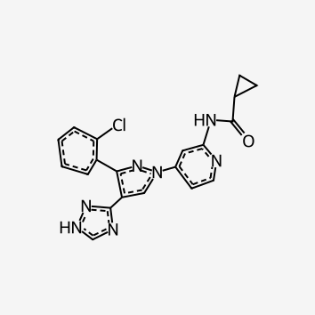 O=C(Nc1cc(-n2cc(-c3nc[nH]n3)c(-c3ccccc3Cl)n2)ccn1)C1CC1